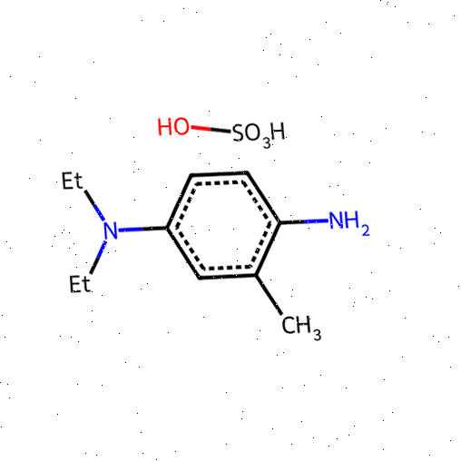 CCN(CC)c1ccc(N)c(C)c1.O=S(=O)(O)O